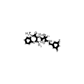 CCCC(F)(C(=O)NCc1cc(F)cc(F)c1)C(=O)N[C@@H]1C(=O)N(C)c2ccccc2O[C@@H]1C